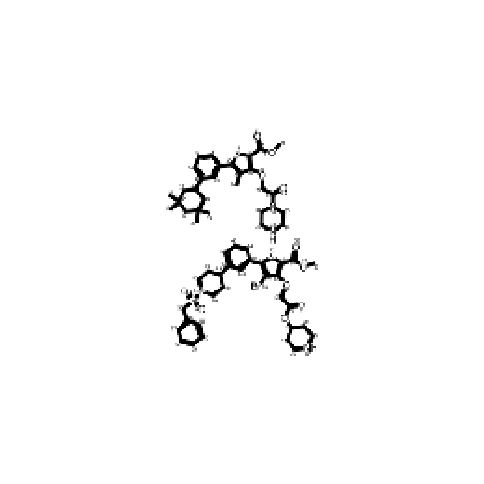 COC(=O)c1sc(-c2cccc(C3CC(C)(C)CC(C)(C)C3)c2)c(C)c1OCC(=O)N1CCNCC1.COC(=O)c1sc(-c2cccc(C3CCN(S(=O)(=O)Cc4ccccc4)CC3)c2)c(Br)c1OCC(=O)OC1CCNCC1